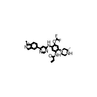 C=CC(=O)Nc1cc(Nc2cc(-c3ccc4c(cnn4C)c3)ncn2)c(OC(F)F)cc1N1CCN[C@@H](C)C1